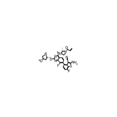 C=CC(=O)N1CC[C@H](N(C)c2nc(OC[C@@H]3C[C@@H](OC)CN3C)nc3c(F)c(-c4ccc(F)c5sc(N)c(C#N)c45)ccc23)[C@@H]1C